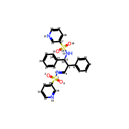 O=S(=O)(N=CC(c1ccccc1)[C@H](NS(=O)(=O)c1cccnc1)c1ccccc1)c1cccnc1